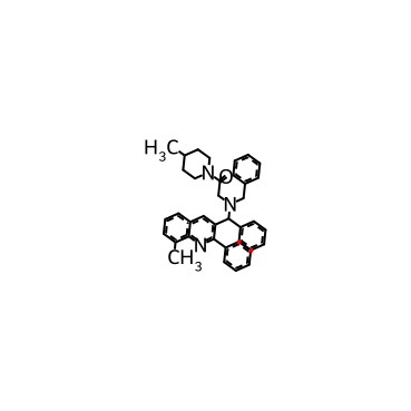 Cc1cccc2cc(C(c3ccccc3)N(CC(=O)N3CCC(C)CC3)Cc3ccccc3)c(-c3ccccc3)nc12